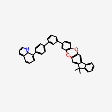 CC1(C)c2ccccc2-c2cc3c(cc21)Oc1cc(-c2cccc(-c4ccc(-c5cccc6cccnc56)cc4)c2)ccc1O3